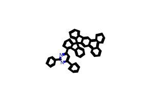 c1ccc(-c2cc(-c3cccc4c3-c3ccccc3C43c4ccccc4-c4cc5c6ccccc6c6ccccc6c5cc43)nc(-c3ccccc3)n2)cc1